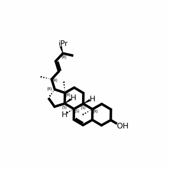 CC(C)[C@@H](C)C=C[C@@H](C)[C@H]1CC[C@H]2[C@@H]3C=CC4CC(O)CC[C@]4(C)[C@H]3CC[C@]12C